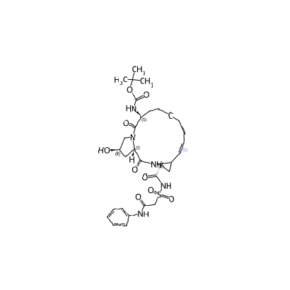 CC(C)(C)OC(=O)N[C@H]1CCCCC/C=C\C2C[C@@]2(C(=O)NS(=O)(=O)CC(=O)Nc2ccccc2)NC(=O)[C@@H]2C[C@@H](O)CN2C1=O